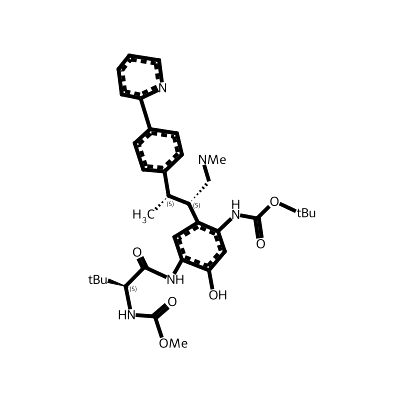 CNC[C@H](c1cc(NC(=O)[C@@H](NC(=O)OC)C(C)(C)C)c(O)cc1NC(=O)OC(C)(C)C)[C@H](C)c1ccc(-c2ccccn2)cc1